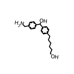 NCc1ccc(C(O)c2ccc(CCCCCCO)cc2)cc1